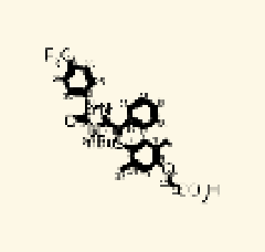 CCCCn1c(C(Sc2cc(C)c(OCC(=O)O)cc2C)c2ccccc2)nn(-c2ccc(C(F)(F)F)cc2)c1=O